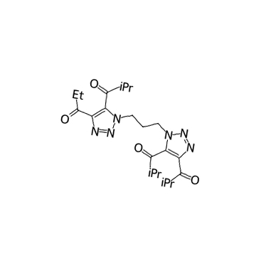 CCC(=O)c1nnn(CCCn2nnc(C(=O)C(C)C)c2C(=O)C(C)C)c1C(=O)C(C)C